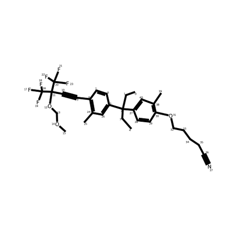 CCC(CC)(c1ccc(C#CC(OCOC)(C(F)(F)F)C(F)(F)F)c(C)c1)c1ccc(OCCCCC#N)c(C)c1